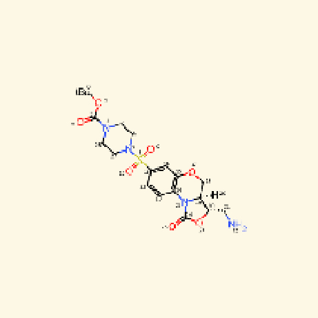 CC(C)(C)OC(=O)N1CCN(S(=O)(=O)c2ccc3c(c2)OC[C@H]2[C@H](CN)OC(=O)N32)CC1